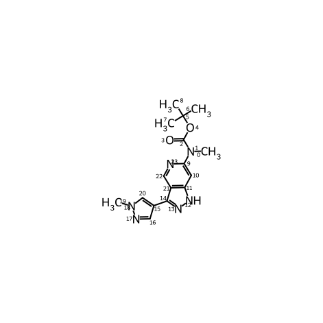 CN(C(=O)OC(C)(C)C)c1cc2[nH]nc(-c3cnn(C)c3)c2cn1